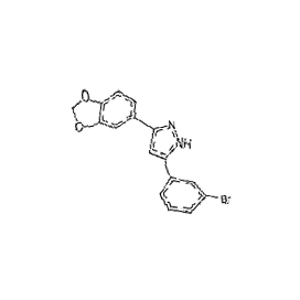 Brc1cccc(-c2cc(-c3ccc4c(c3)OCO4)n[nH]2)c1